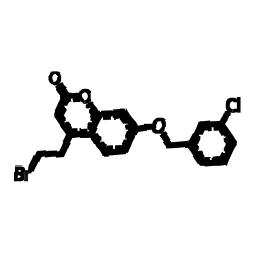 O=c1cc(CCBr)c2ccc(OCc3cccc(Cl)c3)cc2o1